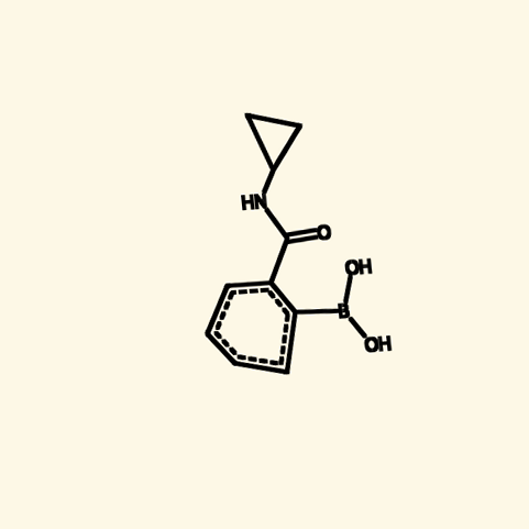 O=C(NC1CC1)c1ccccc1B(O)O